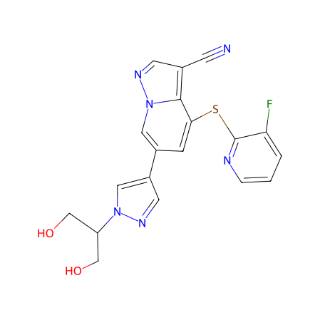 N#Cc1cnn2cc(-c3cnn(C(CO)CO)c3)cc(Sc3ncccc3F)c12